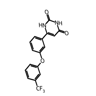 O=c1cc(-c2cccc(Oc3cccc(C(F)(F)F)c3)c2)[nH]c(=O)[nH]1